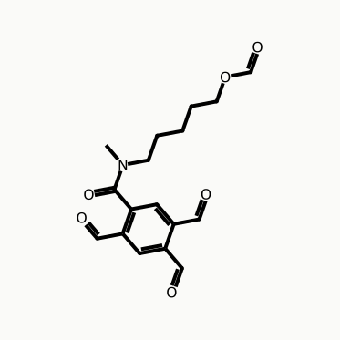 CN(CCCCCOC=O)C(=O)c1cc(C=O)c(C=O)cc1C=O